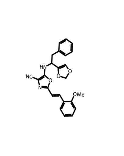 COc1ccccc1C=Cc1nc(C#N)c(NC(Cc2ccccc2)C2=COCO2)o1